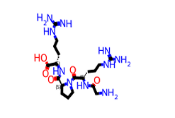 N=C(N)NCCC[C@H](NC(=O)[C@@H]1CCCN1C(=O)[C@H](CCCNC(=N)N)NC(=O)CN)C(=O)O